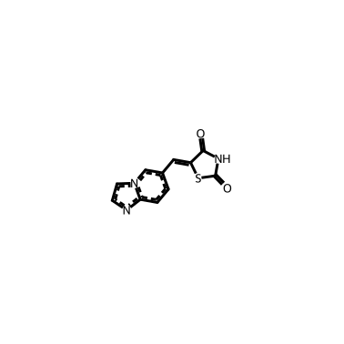 O=C1NC(=O)C(=Cc2ccc3nccn3c2)S1